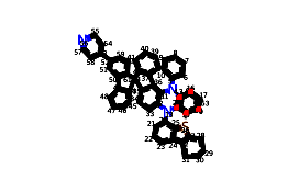 c1ccc(N(c2ccccc2)c2c(N(c3ccccc3)c3cccc4c3sc3ccccc34)ccc3c2-c2ccccc2C32c3ccccc3-c3cc(-c4ccncc4)ccc32)cc1